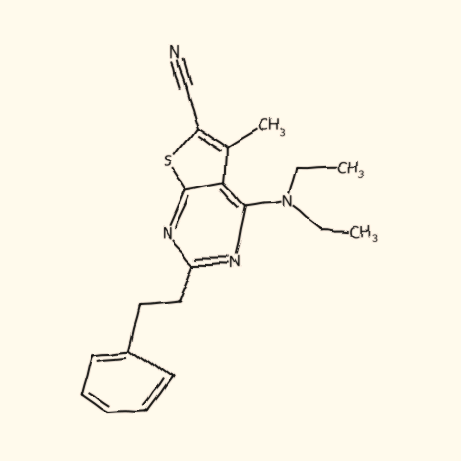 CCN(CC)c1nc(CCc2ccccc2)nc2sc(C#N)c(C)c12